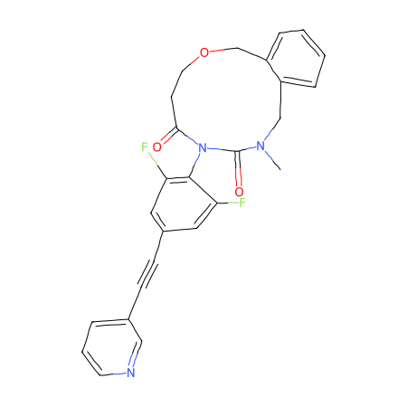 CN1Cc2ccccc2COCCC(=O)N(c2c(F)cc(C#Cc3cccnc3)cc2F)C1=O